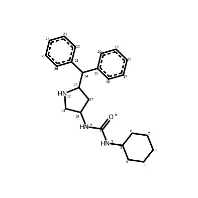 O=C(NC1CCCCC1)NC1CNC(C(c2ccccc2)c2ccccc2)C1